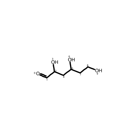 O=CC(O)CC(O)CCO